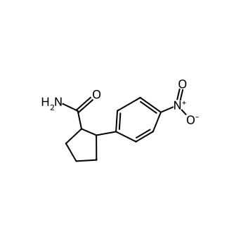 NC(=O)C1CCCC1c1ccc([N+](=O)[O-])cc1